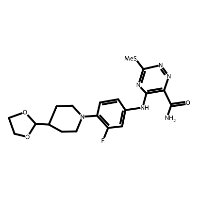 CSc1nnc(C(N)=O)c(Nc2ccc(N3CCC(C4OCCO4)CC3)c(F)c2)n1